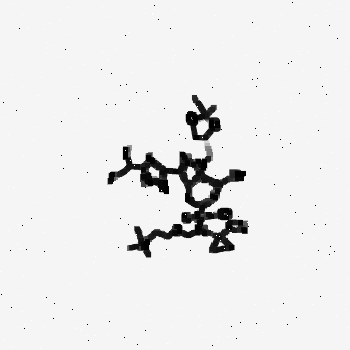 CC1(C)OC[C@@H](Cn2nc(-c3nnc(C(F)F)s3)c3cc(S(=O)(=O)N(COCC[Si](C)(C)C)C4(C#N)CC4)cc(Br)c32)O1